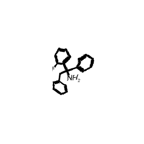 NC(Cc1ccccc1)(c1ccccc1)c1ccccc1F